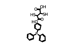 O=C(O)C(S)C(S)C(=O)O.c1ccc(P(c2ccccc2)c2ccccc2)cc1